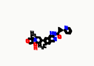 Cc1cc2cnc(NC(=O)[C@H]3C[C@@H]3c3ccccn3)cc2cc1C1CCN([C@@]2(C)COC[C@H]2O)CC1